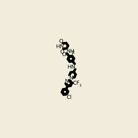 O=C1CCC(NC(=O)c2ccc(CNCC3CCN(c4ncc(-c5cccc(Cl)c5)cc4C(F)(F)F)CC3)cc2F)C(=O)N1